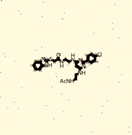 CC(=O)NCCNc1cc(NCCNC(=O)CSc2nc3ccccc3[nH]2)nc(-c2ccc(Cl)cc2)n1